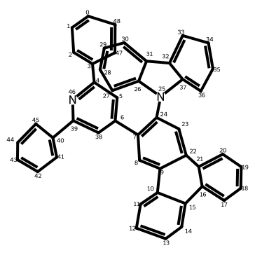 c1ccc(-c2cc(-c3cc4c5ccccc5c5ccccc5c4cc3-n3c4ccccc4c4ccccc43)cc(-c3ccccc3)n2)cc1